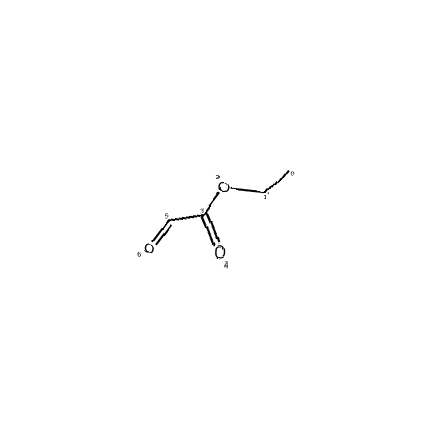 C[CH]OC(=O)C=O